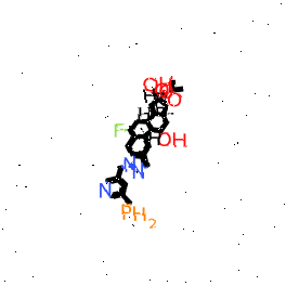 CC1(C)O[C@@H]2C[C@H]3[C@@H]4C[C@H](F)C5=Cc6c(cnn6Cc6cncc(CP)c6)C[C@]5(C)[C@H]4[C@@H](O)C[C@]3(C)[C@]2(C(=O)CO)O1